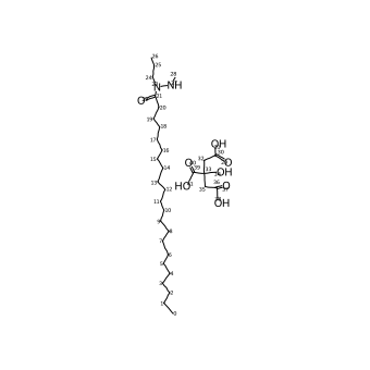 CCCCCCCCCCCCCCCCCCCCCC(=O)N(CCC)NC.O=C(O)CC(O)(CC(=O)O)C(=O)O